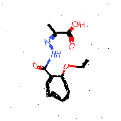 CCOc1ccccc1C(=O)N/N=C(/C)C(=O)O